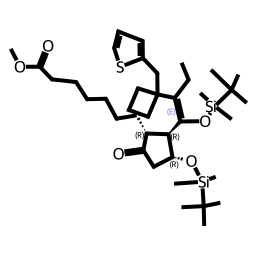 CC/C(=C(\O[Si](C)(C)C(C)(C)C)[C@H]1[C@H](O[Si](C)(C)C(C)(C)C)CC(=O)[C@@H]1CCCCCCC(=O)OC)C1(Cc2cccs2)CCC1